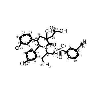 CCC(CNS(=O)(=O)c1cccc(C#N)c1)N1C(=O)C(C)(CC(=O)O)CC(c2cccc(Cl)c2)C1c1ccc(Cl)cc1